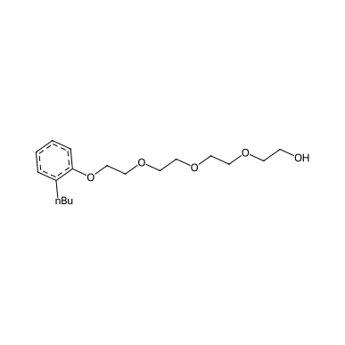 CCCCc1ccccc1OCCOCCOCCOCCO